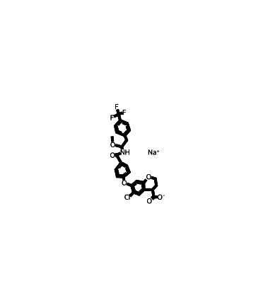 COC(Cc1ccc(C(F)(F)F)cc1)NC(=O)c1ccc(Oc2cc3c(cc2Cl)C(C(=O)[O-])CCO3)cc1.[Na+]